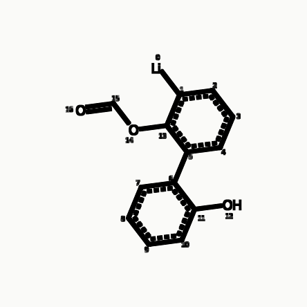 [Li][c]1cccc(-c2ccccc2O)c1OC=O